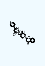 CC(CC(=O)N1CCC(O)(Cn2cnc(-c3ccncc3)cc2=O)CC1)c1ccccc1